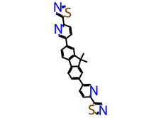 CC1(C)c2cc(-c3ccc(-c4cncs4)nc3)ccc2-c2ccc(-c3ccc(-c4cncs4)nc3)cc21